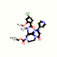 CCOC(=O)N1CCn2c(nc(-c3ccncc3)cc2=O)C(N(C)C(=O)c2ccc(Cl)cc2OC)C1